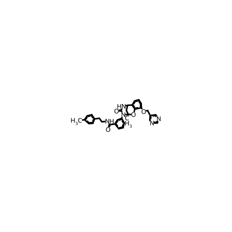 Cc1ccc(CCNC(=O)c2cccc(N3C(=O)NC4CC3(C)Oc3c(OCc5cncnc5)cccc34)c2)cc1